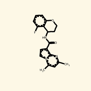 Cc1cc(C)n2ccc(C(=O)NC3CCOc4cccc(F)c43)c2n1